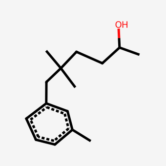 Cc1cccc(CC(C)(C)CCC(C)O)c1